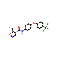 CCc1oncc1C(=O)Nc1ccc(Oc2ccc(C(F)(F)F)cc2)cc1